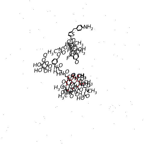 CCN(COCC(=O)[C@@]12O[C@H](c3ccc(Cc4ccc(N)cc4)s3)O[C@@H]1C[C@H]1[C@@H]3C[C@H](F)C4=CC(=O)C=C[C@]4(C)[C@@]3(F)[C@@H](O)C[C@@]12C)C(=O)OCc1ccc(O[C@@H]2O[C@H](OC=O)[C@@H](O)[C@H](O)[C@H]2O)c(NC(=O)CCNC(=O)CCc2ccc(N3C(=O)C=CC3=O)cc2C(=O)N(C)CC(=O)N(C)CC(=O)N(C)CC(=O)N(C)CC(=O)N(C)CC(=O)N(C)CC(=O)N(C)CC(=O)N(C)CC(=O)N(C)CC(=O)N(C)CC(=O)O)c1